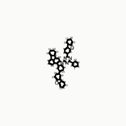 c1ccc(-c2nc(-c3ccc4c(c3)oc3ccccc34)nc(-n3c4ccc(-c5ccc6oc7ccccc7c6c5)cc4c4c5cccc6c5c(cc43)-c3ccccc3-6)n2)cc1